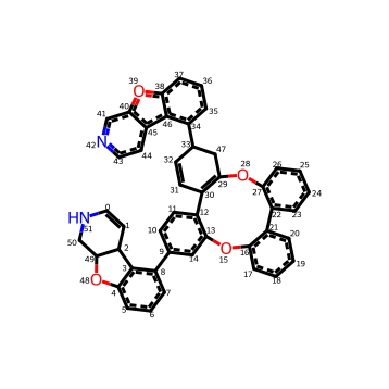 C1=CC2c3c(cccc3-c3ccc4c(c3)Oc3ccccc3-c3ccccc3OC3=C4C=CC(c4cccc5oc6cnccc6c45)C3)OC2CN1